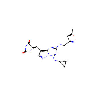 Cc1cc(CNc2nc(NC3CC3)n3ncc(/C=C4\NC(=O)NC4=O)c3n2)no1